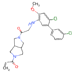 C=CC(=O)N1CC2CN(C(=O)CNc3cc(-c4cccc(Cl)c4)c(Cl)cc3OC)CC2C1